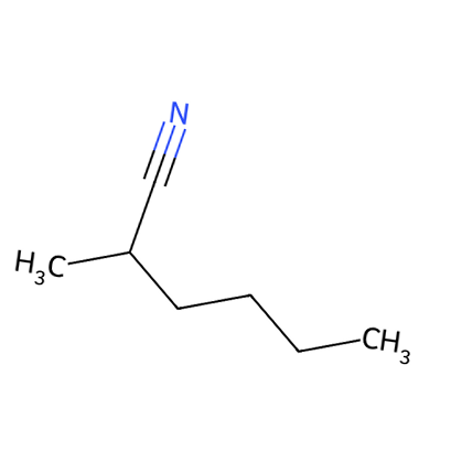 CCCCC(C)C#N